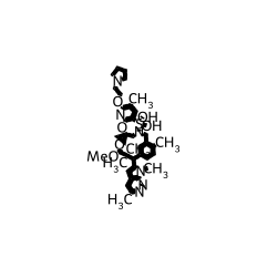 COC(=O)C(C)(C)C(c1ccc(C)c(CN2CC3(CC3)Oc3nc(OCCN4CCCC4)c(C)cc3S2(O)O)c1)c1cc2cc(C)nnc2n1C